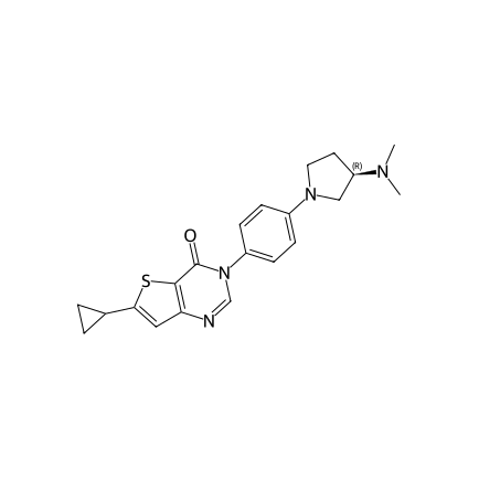 CN(C)[C@@H]1CCN(c2ccc(-n3cnc4cc(C5CC5)sc4c3=O)cc2)C1